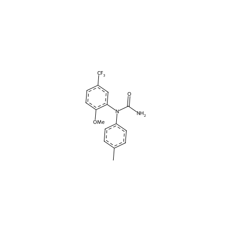 COc1ccc(C(F)(F)F)cc1N(C(N)=O)c1ccc(C)cc1